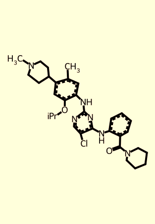 Cc1cc(Nc2ncc(Cl)c(Nc3ccccc3C(=O)N3CCCCC3)n2)c(OC(C)C)cc1C1CCN(C)CC1